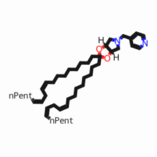 CCCCC/C=C\C/C=C\CCCCCCCCC1(CCCCCCCC/C=C\C/C=C\CCCCC)O[C@H]2CN(Cc3ccncc3)C[C@H]2O1